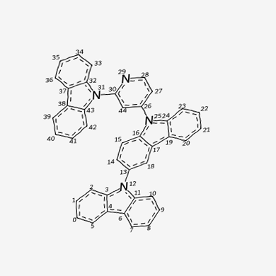 c1ccc2c(c1)c1ccccc1n2-c1ccc2c(c1)c1ccccc1n2-c1ccnc(-n2c3ccccc3c3ccccc32)c1